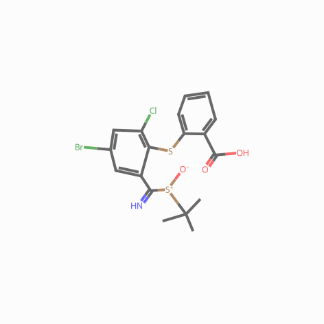 CC(C)(C)[S+]([O-])C(=N)c1cc(Br)cc(Cl)c1Sc1ccccc1C(=O)O